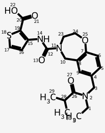 CCN(Cc1ccc2c(c1)CN(C(=O)Nc1ccsc1C(=O)O)CCO2)C(=O)C(C)C